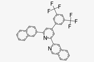 FC(F)(F)c1cc(-c2cc(-c3ccc4ccccc4c3)nc(-c3cc4ccccc4cn3)c2)cc(C(F)(F)F)c1